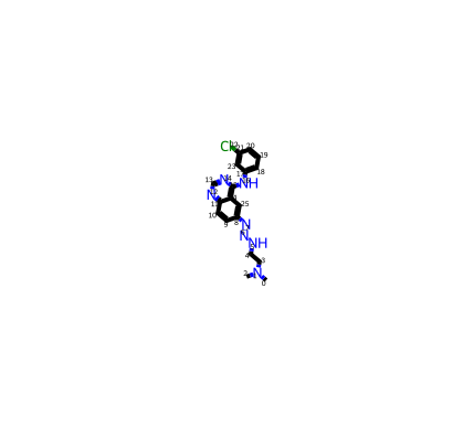 CN(C)CCN/N=N/c1ccc2ncnc(Nc3cccc(Cl)c3)c2c1